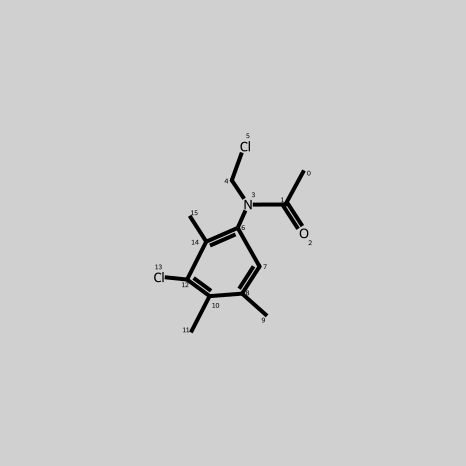 CC(=O)N(CCl)c1cc(C)c(C)c(Cl)c1C